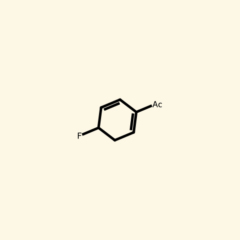 CC(=O)C1=CCC(F)C=C1